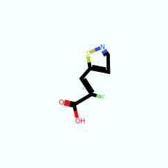 O=C(O)/C(F)=C/c1ccns1